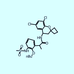 CCCCOc1c(NS(C)(=O)=O)cccc1C(C)C(=O)NC1CC2(CCC2)Oc2c(Cl)cc(Cl)cc21